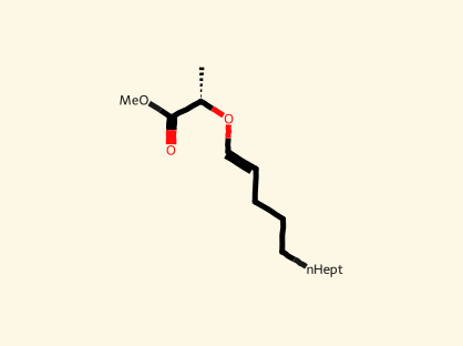 CCCCCCCCCCC=CO[C@@H](C)C(=O)OC